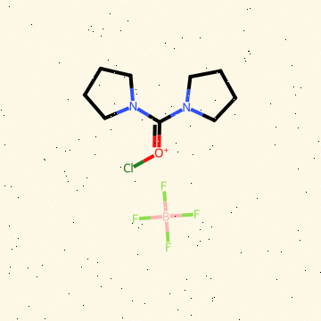 Cl[O+]=C(N1CCCC1)N1CCCC1.F[B-](F)(F)F